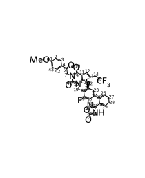 COc1ccc(C(=O)Cn2c(=O)c3cc(CC(F)(F)F)sc3n(Cc3c(F)cc(-c4ccccc4-c4noc(=O)[nH]4)cc3F)c2=O)cc1